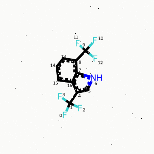 FC(F)(F)c1c[nH]c2c(C(F)(F)F)cccc12